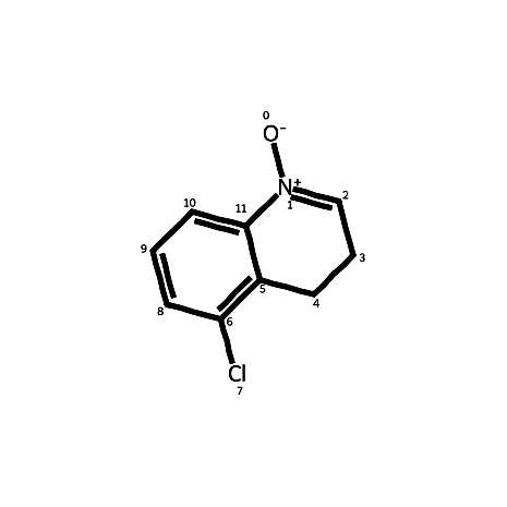 [O-][N+]1=CCCc2c(Cl)cccc21